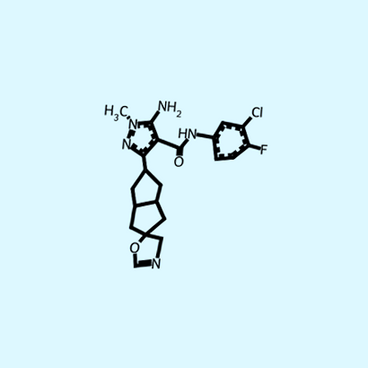 Cn1nc(C2CC3CC4(CN=CO4)CC3C2)c(C(=O)Nc2ccc(F)c(Cl)c2)c1N